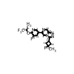 C[C@H](Oc1ncc(-c2cn3c(C4CC(C)(F)C4)nnc3cn2)cc1F)C(F)(F)F